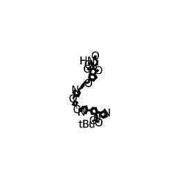 CC(C)(C)OC(=O)n1c2ccncc2c2ccc(-c3ccc(O[C@H]4C[C@H](Oc5ccc(C#CCOc6ccc7c(c6)C(=O)N(C6CCC(=O)NC6=O)C7=O)nc5)C4)nc3)cc21